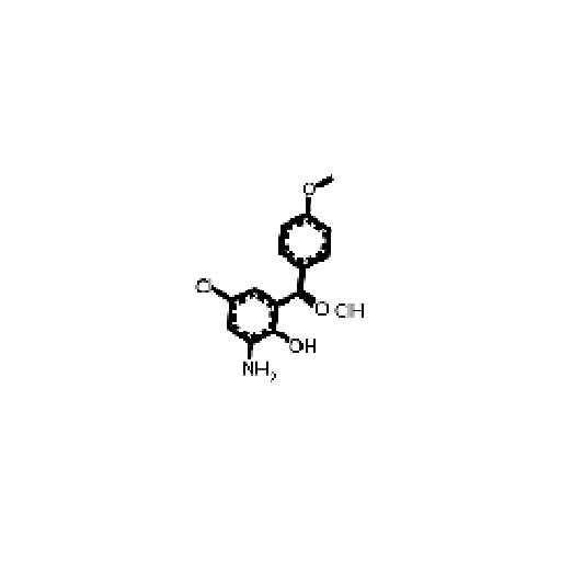 COc1ccc(C(=O)c2cc(Cl)cc(N)c2O)cc1.Cl